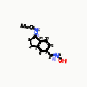 CO/N=C1\CCc2cc(/C=N/O)ccc21